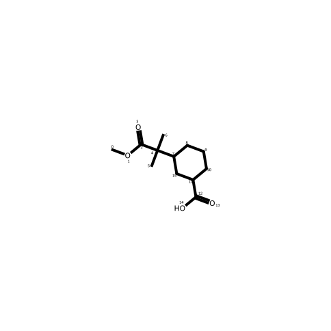 COC(=O)C(C)(C)C1CCCC(C(=O)O)C1